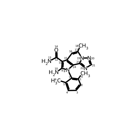 Cc1cccc(C)c1-n1c(N)c(C(N)=O)c2cc(C)n3ncnc3c21